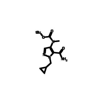 CN(C(=O)OC(C)(C)C)c1cnn(CC2CC2)c1C(N)=O